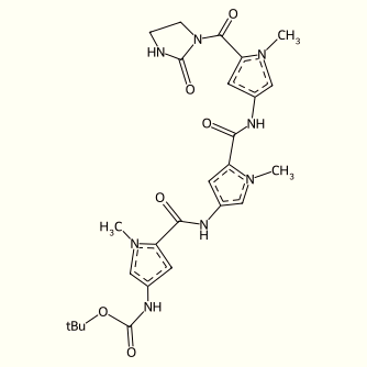 Cn1cc(NC(=O)OC(C)(C)C)cc1C(=O)Nc1cc(C(=O)Nc2cc(C(=O)N3CCNC3=O)n(C)c2)n(C)c1